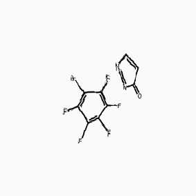 Fc1c(F)c(F)c(Br)c(F)c1F.O=C1C=CN=N1